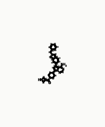 Nc1ncnn2c(C3CCN(C(=O)C4CNC4)CC3)cc(-c3ccc4cn(Cc5ccccc5)nc4c3)c12